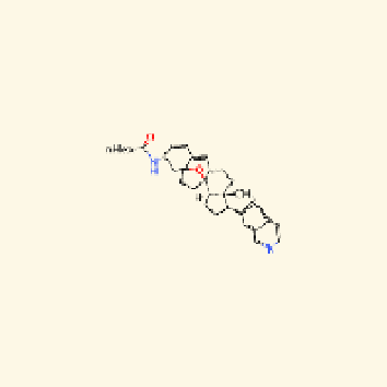 CCCCCCC(=O)N[C@@H]1C=CC2=CC3=CC[C@]4(C)[C@@H](c5ccc6ccncc6c5)CC[C@H]4[C@@]34CC[C@]2(C1)O4